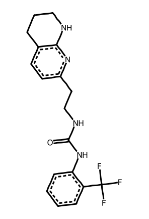 O=C(NCCc1ccc2c(n1)NCCC2)Nc1ccccc1C(F)(F)F